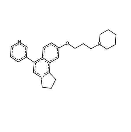 c1cncc(-c2c[n+]3c(c4cc(OCCCN5CCCCC5)ccc24)CCC3)c1